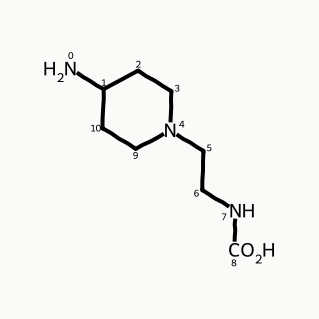 NC1CCN(CCNC(=O)O)CC1